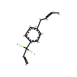 C=CC(F)(F)c1ccc(C/C=C/C)cc1